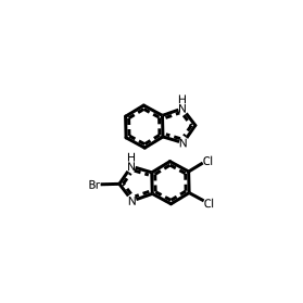 Clc1cc2nc(Br)[nH]c2cc1Cl.c1ccc2[nH]cnc2c1